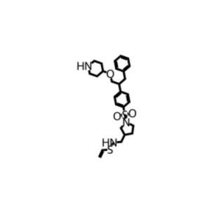 C=CSNCC1CCN(S(=O)(=O)c2ccc(C(COC3CCNCC3)Cc3ccccc3)cc2)C1